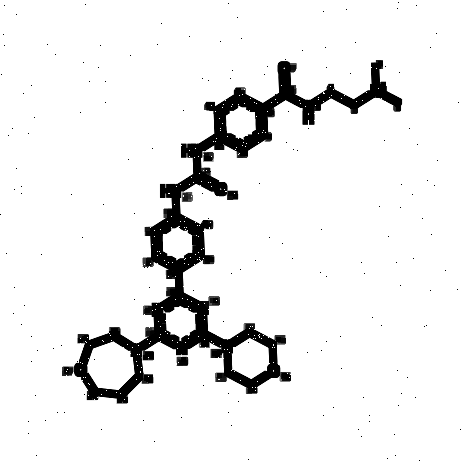 CN(C)CCNC(=O)c1ccc(NC(=O)Nc2ccc(-c3nc(N4CCCOCC4)nc(N4CCOCC4)n3)cc2)cc1